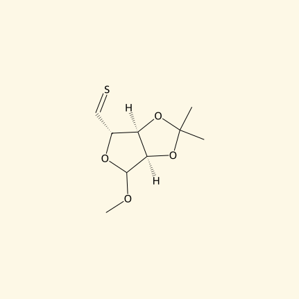 COC1O[C@H](C=S)[C@H]2OC(C)(C)O[C@@H]12